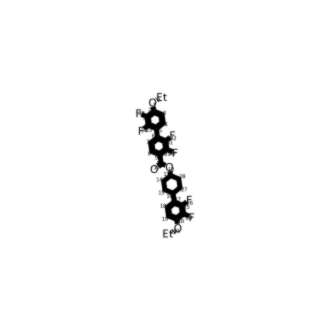 CCOc1ccc(-c2ccc(C(=O)OC3CCC(c4ccc(OCC)c(F)c4F)CC3)c(F)c2F)c(F)c1F